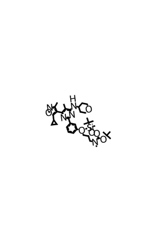 Cc1noc(C2CC2)c1-c1nc(-c2cccc(OCC(CN(C)C(=O)OC(C)(C)C)O[Si](C)(C)C(C)(C)C)c2)nc(NC2CCOCC2)c1C